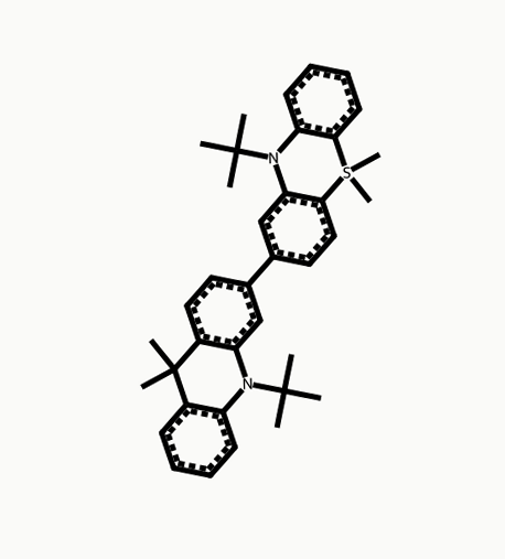 CC1(C)c2ccccc2N(C(C)(C)C)c2cc(-c3ccc4c(c3)N(C(C)(C)C)c3ccccc3S4(C)C)ccc21